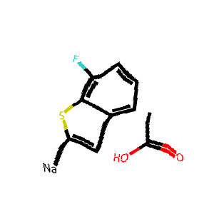 CC(=O)O.Fc1cccc2c[c]([Na])sc12